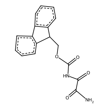 NC(=O)C(=O)NC(=O)OCC1c2ccccc2-c2ccccc21